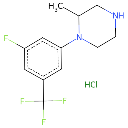 CC1CNCCN1c1cc(F)cc(C(F)(F)F)c1.Cl